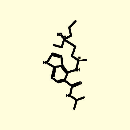 CCC[C@@](O)(CC)CC[C@H](C)Nc1c(C(=O)NC(C)C)cnc2[nH]ccc12